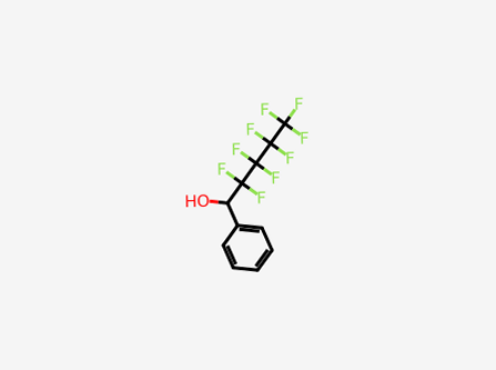 OC(c1ccccc1)C(F)(F)C(F)(F)C(F)(F)C(F)(F)F